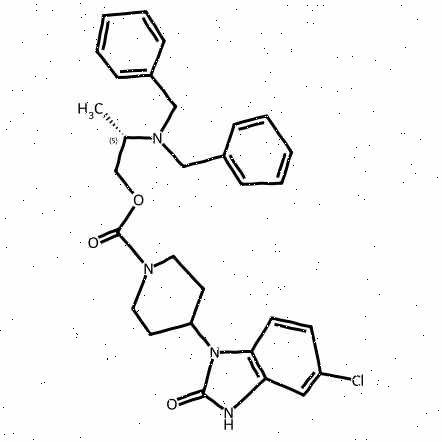 C[C@@H](COC(=O)N1CCC(n2c(=O)[nH]c3cc(Cl)ccc32)CC1)N(Cc1ccccc1)Cc1ccccc1